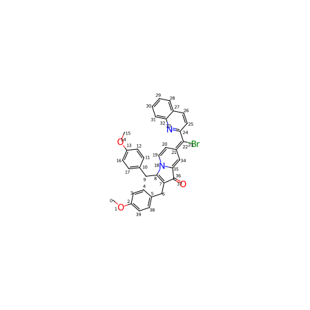 COc1ccc(CC2=C(Cc3ccc(OC)cc3)N3C=CC(=C(Br)c4ccc5ccccc5n4)C=C3C2=O)cc1